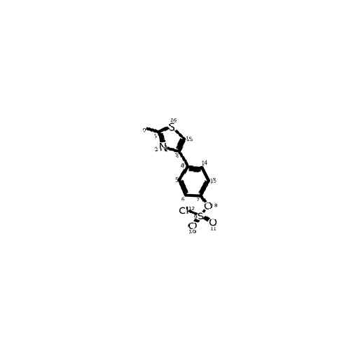 Cc1nc(-c2ccc(OS(=O)(=O)Cl)cc2)cs1